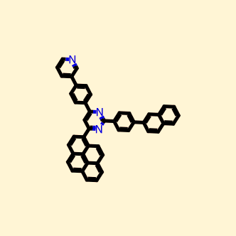 c1cncc(-c2ccc(-c3cc(-c4ccc5ccc6cccc7ccc4c5c67)nc(-c4ccc(-c5ccc6ccccc6c5)cc4)n3)cc2)c1